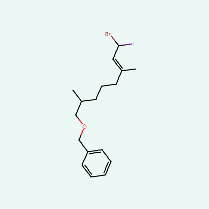 CC(=CC(Br)I)CCCC(C)COCc1ccccc1